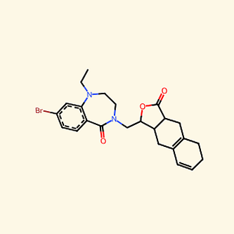 CCN1CCN(CC2OC(=O)C3CC4=C(C=CCC4)CC23)C(=O)c2ccc(Br)cc21